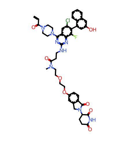 C=CC(=O)N1CCN(c2nc(NCCC(=O)N(C)CCOCCOc3ccc4c(c3)CN(C3CCC(=O)NC3=O)C4=O)nc3c(F)c(-c4cc(O)cc5ccccc45)c(Cl)cc23)CC1